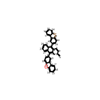 C=C/C=C\c1c(C)c(-c2ccc3oc4ccccc4c3c2)c2ccccc2c1-c1ccc2sc3ccccc3c2c1